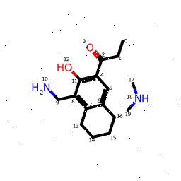 CCC(=O)c1cc2c(c(CN)c1O)CCCC2.CNC